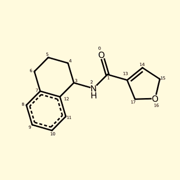 O=C(NC1CCCc2ccccc21)C1=CCOC1